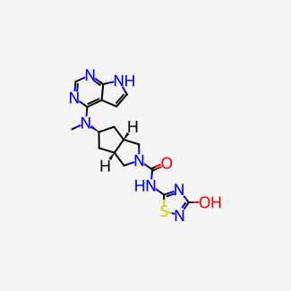 CN(c1ncnc2[nH]ccc12)[C@H]1C[C@@H]2CN(C(=O)Nc3nc(O)ns3)C[C@@H]2C1